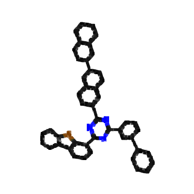 c1ccc(-c2cccc(-c3nc(-c4ccc5cc(-c6ccc7ccccc7c6)ccc5c4)nc(-c4cccc5c4sc4ccccc45)n3)c2)cc1